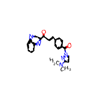 CN(C)c1ccn(C(=O)c2ccc(C=CC(=O)c3cnc4ccccc4n3)cc2)n1